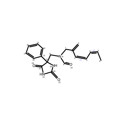 C=C(/C=C\C=C/C)CN(C=O)CC1(c2ccccc2)NC(=O)NC1=O